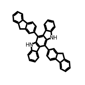 c1ccc2c(c1)Cc1cc(-c3c4[nH]c5ccccc5c4c(-c4ccc5c(c4)Cc4ccccc4-5)c4[nH]c5ccccc5c34)ccc1-2